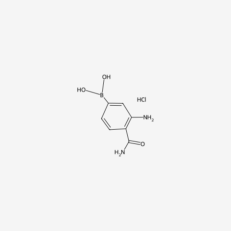 Cl.NC(=O)c1ccc(B(O)O)cc1N